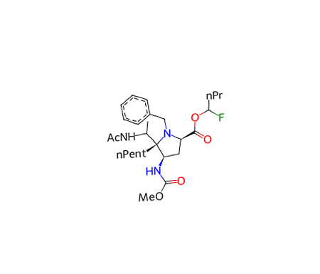 CCCCC[C@]1(C(C)NC(C)=O)[C@H](NC(=O)OC)C[C@H](C(=O)OC(F)CCC)N1Cc1ccccc1